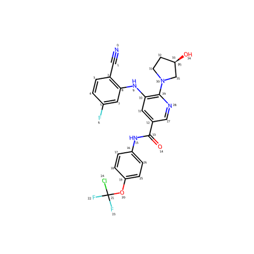 N#Cc1ccc(F)cc1Nc1cc(C(=O)Nc2ccc(OC(F)(F)Cl)cc2)cnc1N1CC[C@@H](O)C1